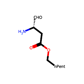 CCCCCCOC(=O)C[C@H](N)C=O